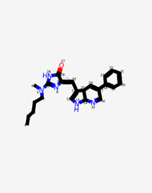 CCCCCN(C)C1=N/C(=C\C2=CNC3N=CC(c4ccccc4)=CC23)C(=O)N1